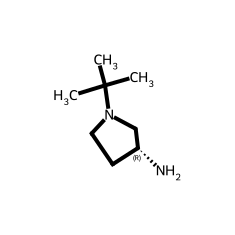 CC(C)(C)N1CC[C@@H](N)C1